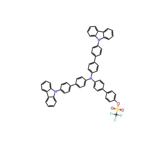 O=S(=O)(Oc1ccc(-c2ccc(N(c3ccc(-c4ccc(-n5c6ccccc6c6ccccc65)cc4)cc3)c3ccc(-c4ccc(-n5c6ccccc6c6ccccc65)cc4)cc3)cc2)cc1)C(F)(F)F